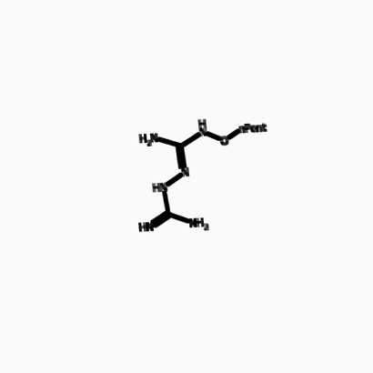 CCCCCONC(N)=NNC(=N)N